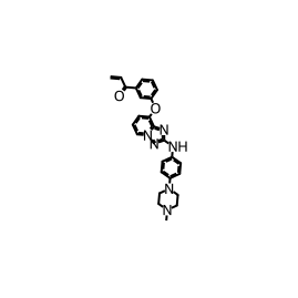 C=CC(=O)c1cccc(Oc2cccn3nc(Nc4ccc(N5CCN(C)CC5)cc4)nc23)c1